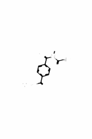 COC(=O)c1ccc(C(=O)N(C)C(=O)C(C)C)cc1